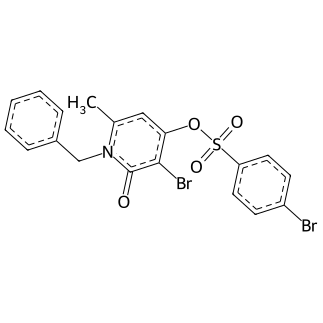 Cc1cc(OS(=O)(=O)c2ccc(Br)cc2)c(Br)c(=O)n1Cc1ccccc1